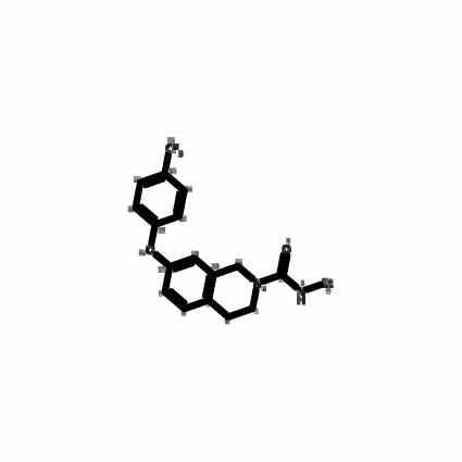 CCNC(=O)N1CCc2ccc(Oc3ccc(C(F)(F)F)cc3)cc2C1